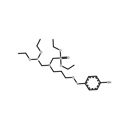 CCOP(CN(CCCOSc1ccc(S)cc1)CP(=O)(OCC)OCC)OCC